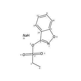 CCS(=O)(=O)Oc1noc2ccccc12.[NaH]